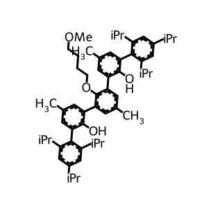 COCCCCOc1c(-c2cc(C)cc(-c3c(C(C)C)cc(C(C)C)cc3C(C)C)c2O)cc(C)cc1-c1cc(C)cc(-c2c(C(C)C)cc(C(C)C)cc2C(C)C)c1O